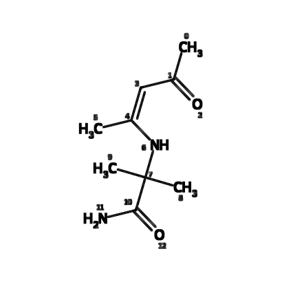 CC(=O)C=C(C)NC(C)(C)C(N)=O